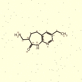 CCc1cnc2c(c1)CCC(CN)C(=O)N2